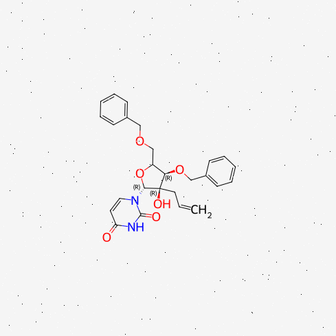 C=CC[C@@]1(O)[C@H](OCc2ccccc2)C(COCc2ccccc2)O[C@H]1n1ccc(=O)[nH]c1=O